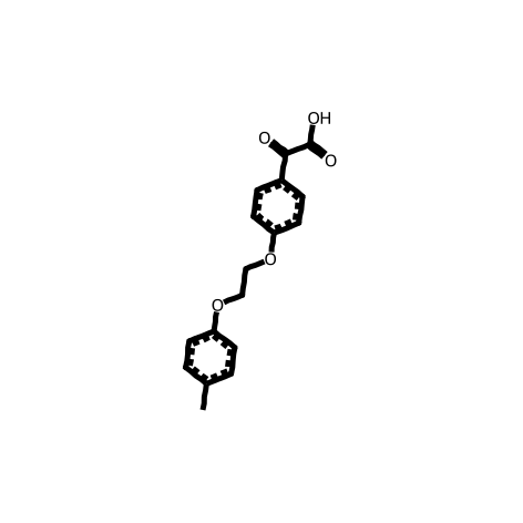 Cc1ccc(OCCOc2ccc(C(=O)C(=O)O)cc2)cc1